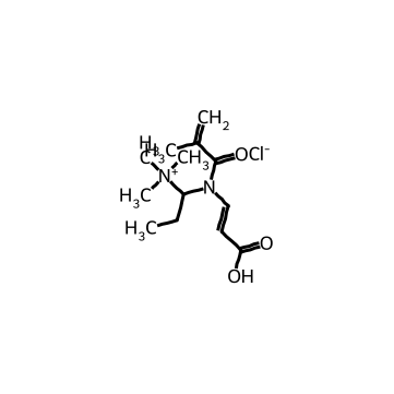 C=C(C)C(=O)N(C=CC(=O)O)C(CC)[N+](C)(C)C.[Cl-]